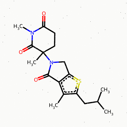 Cc1c(CC(C)C)sc2c1C(=O)N(C1(C)CCC(=O)N(C)C1=O)C2